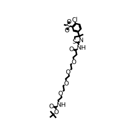 CC(C)(C)OC(=O)NCCOCCOCCOCCOCCC(=O)NC1=NC(C)(c2ccc(Cl)c(S(C)(=O)=O)c2)CS1